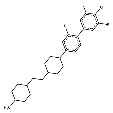 CC1CCC(CCC2CCC(c3ccc(-c4cc(F)c(Cl)c(F)c4)c(F)c3)CC2)CC1